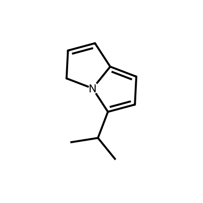 CC(C)c1ccc2n1CC=C2